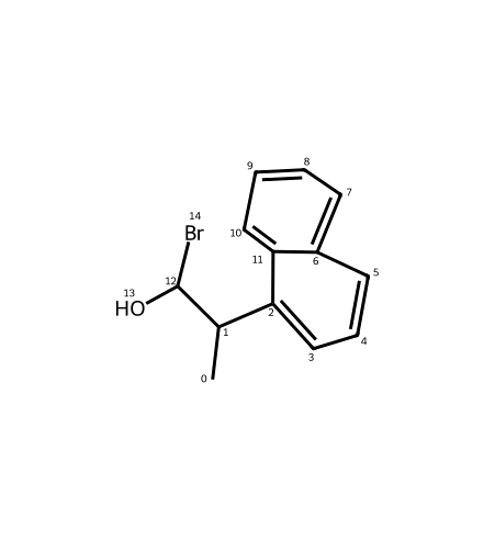 CC(c1cccc2ccccc12)C(O)Br